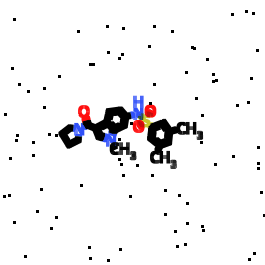 Cc1cc(C)cc(S(=O)(=O)Nc2ccc3c(C(=O)N4CCCC4)cn(C)c3c2)c1